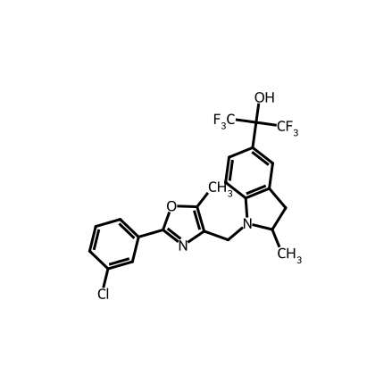 Cc1oc(-c2cccc(Cl)c2)nc1CN1c2ccc(C(O)(C(F)(F)F)C(F)(F)F)cc2CC1C